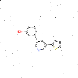 Oc1cccc(-c2cncc(-c3cccs3)c2)c1